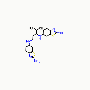 CC(C)[C@H](CCN[C@@H]1CCc2nc(N)sc2C1)NC1CCc2nc(N)sc2C1